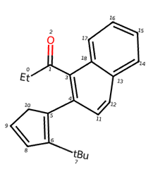 CCC(=O)c1c(C2=C(C(C)(C)C)C=CC2)ccc2ccccc12